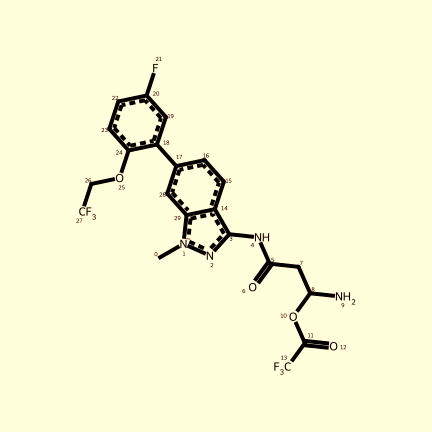 Cn1nc(NC(=O)CC(N)OC(=O)C(F)(F)F)c2ccc(-c3cc(F)ccc3OCC(F)(F)F)cc21